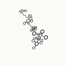 CCCCCCCCCCCCCCCC(CC)C1(Cl)CC(=O)N(CCCNS(=O)(=O)c2cccc(Nc3[nH]n(-c4c(Cl)cc(Cl)cc4Cl)c(=O)c3C(c3ccccc3)c3ccccc3)c2)C1=O